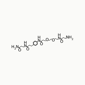 NCCC(=O)NCCOCCOCCC(=O)Nc1ccc(CCC(=O)NCCC(N)=O)cc1